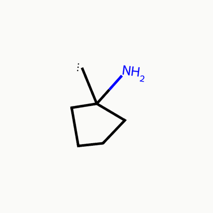 [C]C1(N)CCCC1